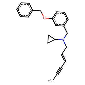 CC(C)(C)C#C/C=C/CN(Cc1cccc(OCc2ccccc2)c1)C1CC1